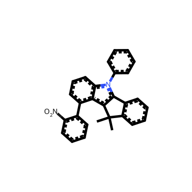 CC1(C)c2ccccc2-c2c1c1c(-c3ccccc3[N+](=O)[O-])cccc1n2-c1ccccc1